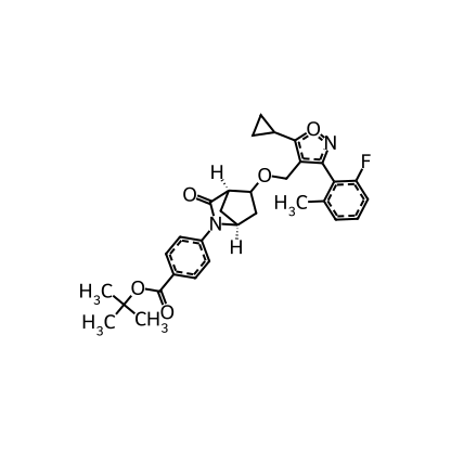 Cc1cccc(F)c1-c1noc(C2CC2)c1COC1C[C@@H]2C[C@H]1C(=O)N2c1ccc(C(=O)OC(C)(C)C)cc1